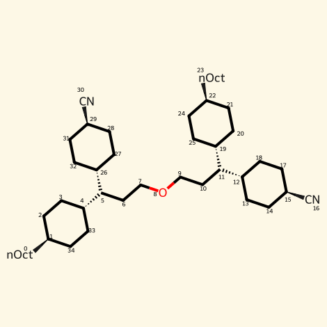 CCCCCCCC[C@H]1CC[C@H](C(CCOCCC([C@H]2CC[C@H](C#N)CC2)[C@H]2CC[C@H](CCCCCCCC)CC2)[C@H]2CC[C@H](C#N)CC2)CC1